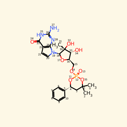 CC1(C)C[C@H](c2ccccc2)OP(=O)(OC[C@H]2O[C@@H](n3ccc4c(=O)[nH]c(N)nc43)[C@](C)(O)[C@@H]2O)O1